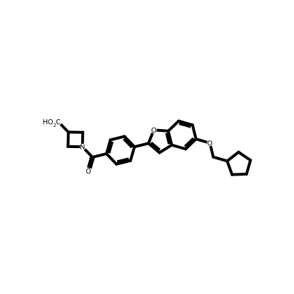 O=C(O)C1CN(C(=O)c2ccc(-c3cc4cc(OCC5CCCC5)ccc4o3)cc2)C1